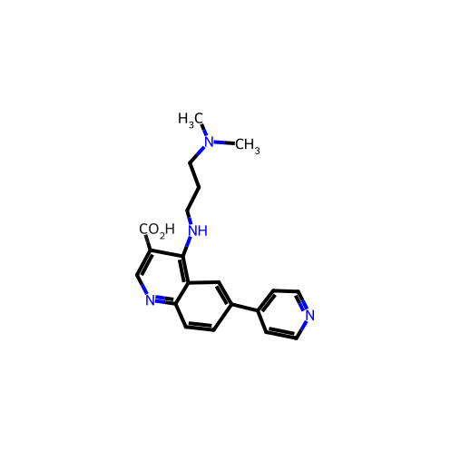 CN(C)CCCNc1c(C(=O)O)cnc2ccc(-c3ccncc3)cc12